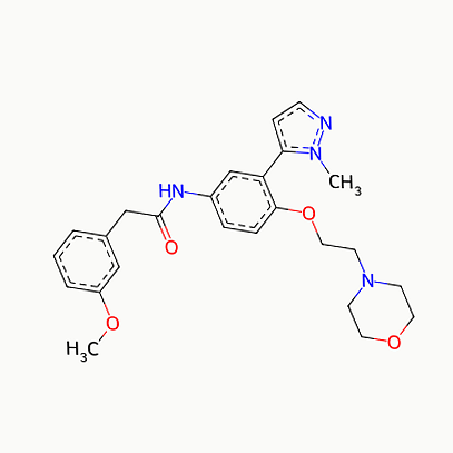 COc1cccc(CC(=O)Nc2ccc(OCCN3CCOCC3)c(-c3ccnn3C)c2)c1